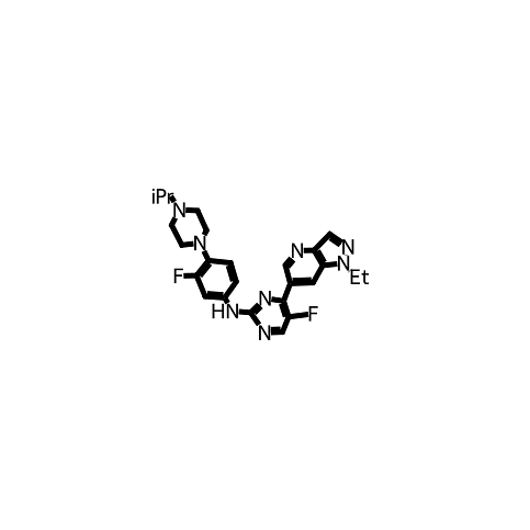 CCn1ncc2ncc(-c3nc(Nc4ccc(N5CCN(C(C)C)CC5)c(F)c4)ncc3F)cc21